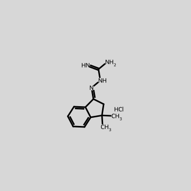 CC1(C)CC(=NNC(=N)N)c2ccccc21.Cl